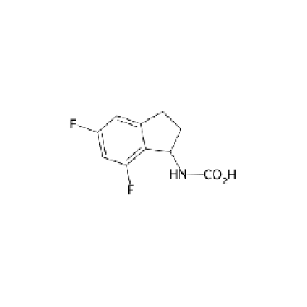 O=C(O)NC1CCc2cc(F)cc(F)c21